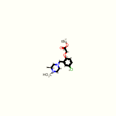 C[C@H]1CN(Cc2cc(Cl)ccc2OCC(=O)OC(C)(C)C)CCN1C(=O)O